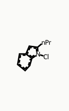 CCCc1cc2ccccc2n1Cl